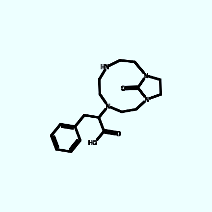 O=C(O)C(Cc1ccccc1)N1CCNCCN2CCN(CC1)C2=O